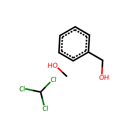 CO.ClC(Cl)Cl.OCc1ccccc1